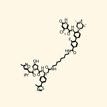 Cc1cc([C@H](C(=O)N2C[C@H](O)C[C@H]2C(=O)N[C@@H](CC(=O)NCCCCCCCCNC(=O)c2ccc(-c3ccc(N4C[C@@H](C)N(C)[C@@H](C)C4)c(NC(=O)c4c[nH]c(=O)cc4C(F)(F)F)c3)c(F)c2)c2ccc(-c3scnc3C)cc2)C(C)C)on1